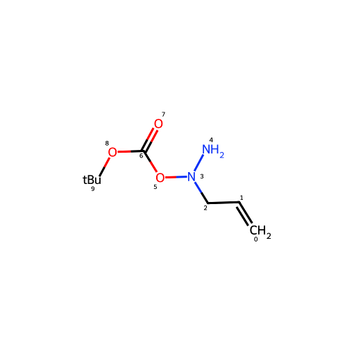 C=CCN(N)OC(=O)OC(C)(C)C